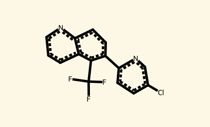 FC(F)(F)c1c(-c2ccc(Cl)cn2)ccc2ncccc12